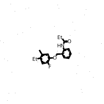 CCC(=O)Nc1ccccc1COc1cc(C)c(CC)cc1F